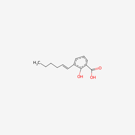 CCCCC=Cc1cccc(C(=O)O)c1O